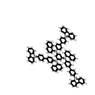 c1ccc2c(N(c3ccc(-c4ccc(-n5c6ccccc6c6ccccc65)cc4)cc3)c3cc(N(c4ccc(-c5ccc(-n6c7ccccc7c7ccccc76)cc5)cc4)c4cccc5ccccc45)cc(N(c4ccc(-c5ccc(-n6c7ccccc7c7ccccc76)cc5)cc4)c4cccc5ccccc45)c3)cccc2c1